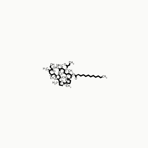 CCCCCCCCCCCC(=O)O[C@H]1C[C@]2(CC[C@@](C)([C@H]3CC[C@@](C)(C4O[C@@H]([C@H]5O[C@@](O)(CO)[C@H](C)C[C@@H]5C)C[C@@H]4C)O3)O2)O[C@H]([C@@H](C)[C@@H](OC(=O)CC)[C@@H](C)C(=O)O)[C@@H]1C